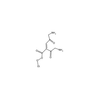 CCOOC(=O)C(=CC(=O)CN)C(=O)CN